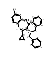 O=C1Nc2cc(F)ccc2O[C@H](C2CC2)[C@@H]1N(Cc1ccccc1)Cc1ccccc1